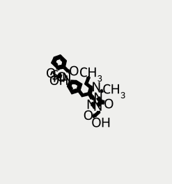 CCCc1nc(C)n2c(=O)n(CC(=O)O)nc2c1Cc1ccc(NC(=O)c2ccccc2S(=O)(=O)O)cc1